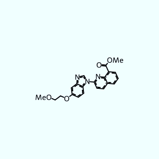 COCCOc1ccc2c(c1)ncn2-c1ccc2cccc(C(=O)OC)c2n1